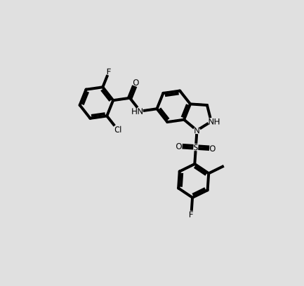 Cc1cc(F)ccc1S(=O)(=O)N1NCc2ccc(NC(=O)c3c(F)cccc3Cl)cc21